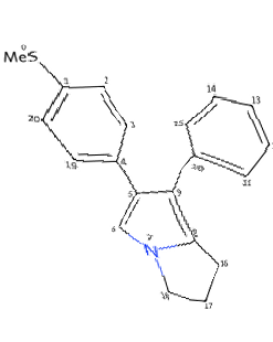 CSc1ccc(-c2cn3c(c2-c2ccccc2)CCC3)cc1